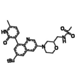 Cc1ccc(-c2cc(C(C)(C)C)cc3cc(N4CCOC(CNS(C)(=O)=O)C4)cnc23)c(=O)[nH]1